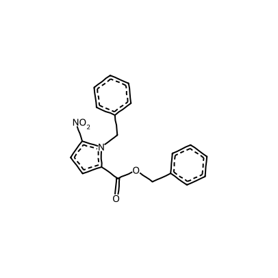 O=C(OCc1ccccc1)c1ccc([N+](=O)[O-])n1Cc1ccccc1